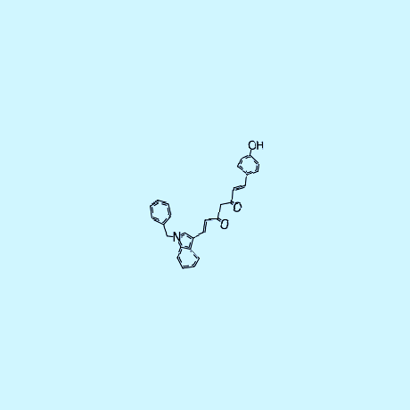 O=C(C=Cc1ccc(O)cc1)CC(=O)C=Cc1cn(Cc2ccccc2)c2ccccc12